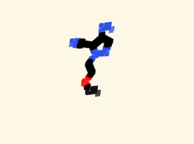 COCCn1ncc(N)c1C#N